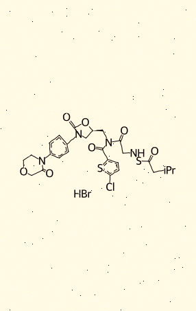 Br.CC(C)CC(=O)SNCC(=O)N(C[C@H]1CN(c2ccc(N3CCOCC3=O)cc2)C(=O)O1)C(=O)c1ccc(Cl)s1